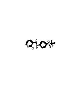 O=C(Nc1ccc(S(=O)(=O)C(F)(F)F)cc1)c1cccnc1Cl